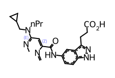 C=N/C(=C\C(=N/C)N(CCC)CC1CC1)C(=O)Nc1ccc2[nH]nc(CCC(=O)O)c2c1